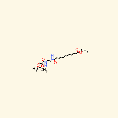 COC(=O)CCCCCCCCCCC(=O)NCCNC(=O)[C@@H]1COC(C)(C)O1